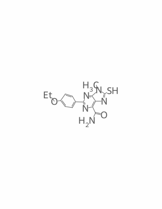 CCOc1ccc(-c2nc(C(N)=O)c3nc(S)n(C)c3n2)cc1